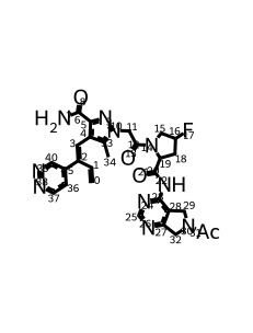 C=C/C(=C\c1c(C(N)=O)nn(CC(=O)N2CC(F)CC2C(=O)Nc2ncnc3c2CN(C(C)=O)C3)c1C)c1ccnnc1